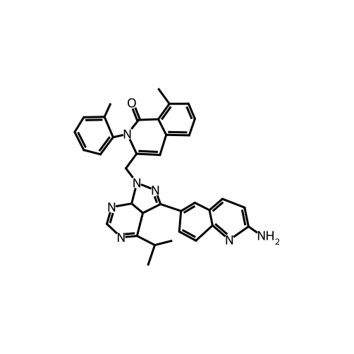 Cc1ccccc1-n1c(CN2N=C(c3ccc4nc(N)ccc4c3)C3C(C(C)C)=NC=NC32)cc2cccc(C)c2c1=O